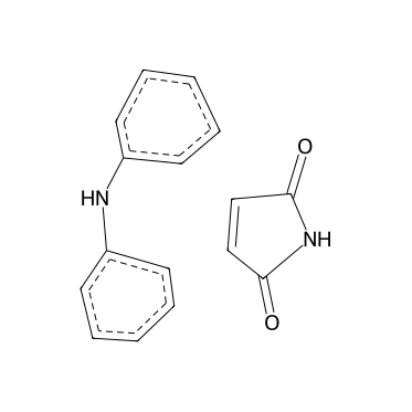 O=C1C=CC(=O)N1.c1ccc(Nc2ccccc2)cc1